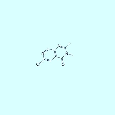 Cc1nc2cnc(Cl)cc2c(=O)n1C